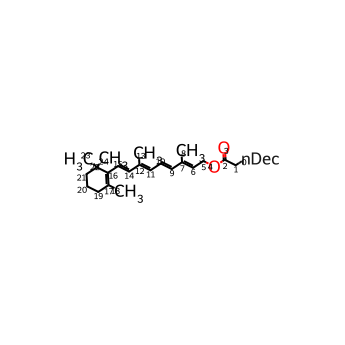 CCCCCCCCCCCC(=O)OC/C=C(C)/C=C/C=C(C)/C=C/C1=C(C)CCCC1(C)C